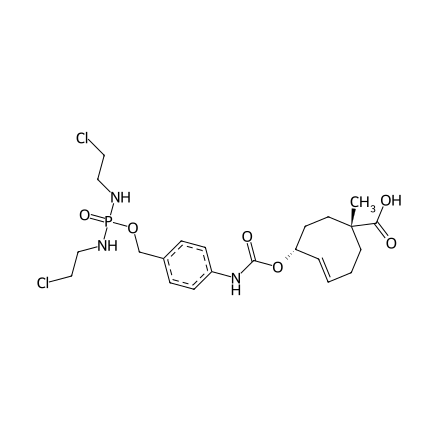 C[C@@]1(C(=O)O)CC/C=C/[C@H](OC(=O)Nc2ccc(COP(=O)(NCCCl)NCCCl)cc2)CC1